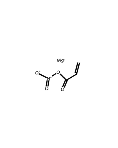 C=CC(=O)O[N+](=O)[O-].[Mg]